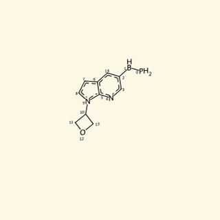 PBc1cnc2c(ccn2C2COC2)c1